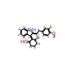 COc1ccc(Cc2nc3c(c4c2[nH]c2ccccc24)[C@@H](O)CCC3)cc1F